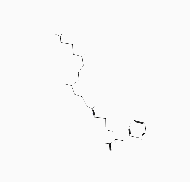 C/C(=C\CSC[C@H](Nc1ncccn1)C(=O)O)CCCC(C)CCCC(C)CCCC(C)C